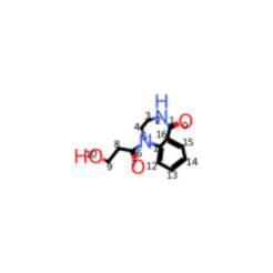 O=C1NCCN(C(=O)CCO)c2ccccc21